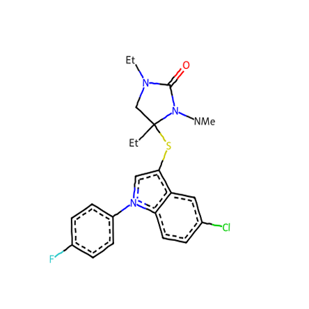 CCN1CC(CC)(Sc2cn(-c3ccc(F)cc3)c3ccc(Cl)cc23)N(NC)C1=O